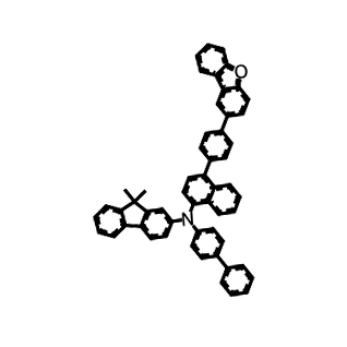 CC1(C)c2ccccc2-c2ccc(N(c3ccc(-c4ccccc4)cc3)c3ccc(-c4ccc(-c5ccc6oc7ccccc7c6c5)cc4)c4ccccc34)cc21